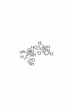 CCCSP(=O)(N[C@@H](C)C(=O)OC(C)C)OC[C@H]1O[C@@H](n2ccc(=O)[nH]c2=O)[C@](C)(Cl)[C@@H]1O